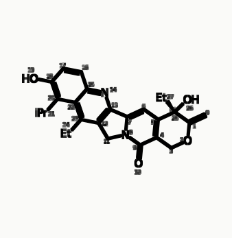 C=C1OCc2c(cc3n(c2=O)Cc2c-3nc3ccc(O)c(C(C)C)c3c2CC)[C@@]1(O)CC